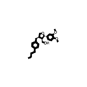 CCCCc1ccc(C[C@H]2CO[C@H](c3ccc(OC)c(OC)c3)[C@H]2CO)cc1